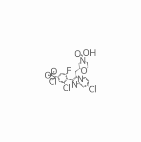 O=C(O)N1CCO[C@@H](Cc2c(-c3c(F)cc(S(=O)(=O)Cl)cc3Cl)nc3cc(Cl)ccn23)C1